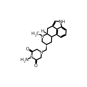 CN1C[C@H](CN2CC(=O)N(N)C(=O)C2)CC2c3cccc4[nH]cc(c34)C[C@H]21